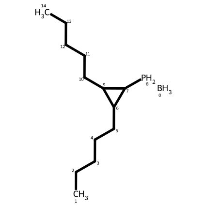 B.CCCCCC1C(P)C1CCCCC